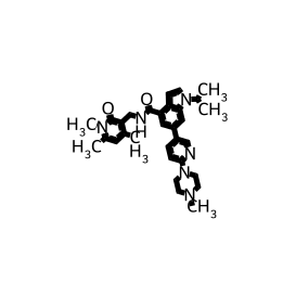 Cc1cc(C)n(C)c(=O)c1CNC(=O)c1cc(-c2ccc(N3CCN(C)CC3)nc2)cc2c1ccn2C(C)C